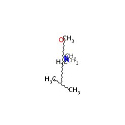 CCCCCCC(CCCC)CCCCCCCCCCCCC(CCCCCCCCC(C)=O)N(C)N(C)C